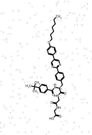 CCCCCCCOc1ccc(-c2cnc(-c3ccc(C[C@H](NC(=O)c4ccc(C(C)(C)C)cc4)C(=O)NCC(=O)NCC(=O)O)cc3)nc2)cc1